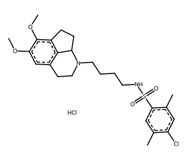 COc1cc2c3c(c1OC)CCC3N(CCCCNS(=O)(=O)c1cc(C)c(Cl)cc1C)CC2.Cl